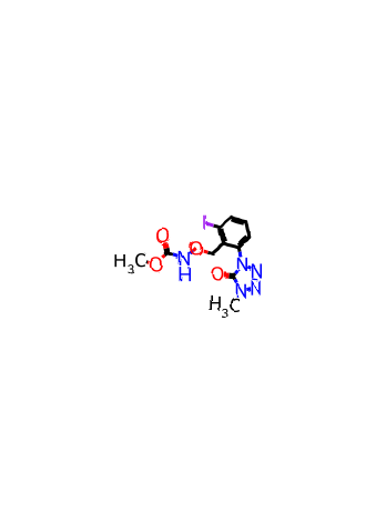 COC(=O)NOCc1c(I)cccc1-n1nnn(C)c1=O